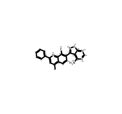 Cc1cc(-c2ccccc2)nc2c(F)c(-c3nsc4ncnc(N)c34)ccc12